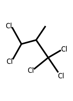 CC(C(Cl)Cl)C(Cl)(Cl)Cl